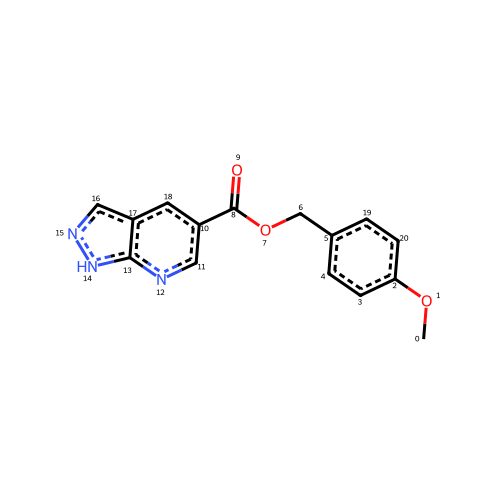 COc1ccc(COC(=O)c2cnc3[nH]ncc3c2)cc1